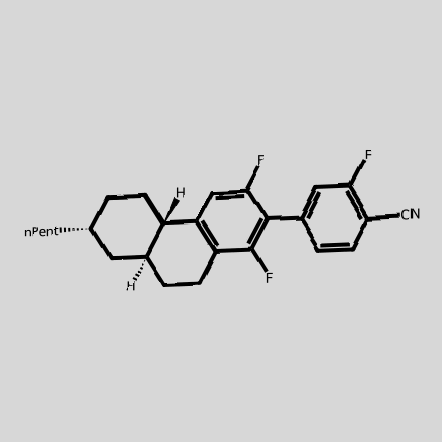 CCCCC[C@@H]1CC[C@@H]2c3cc(F)c(-c4ccc(C#N)c(F)c4)c(F)c3CC[C@H]2C1